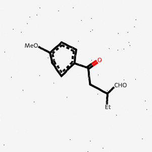 CCC(C=O)CC(=O)c1ccc(OC)cc1